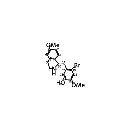 COc1ccc2c(c1)CCN[C@H]2Cc1cc(O)c(OC)cc1Br